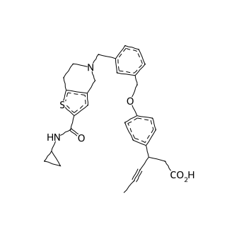 CC#CC(CC(=O)O)c1ccc(OCc2cccc(CN3CCc4sc(C(=O)NC5CC5)cc4C3)c2)cc1